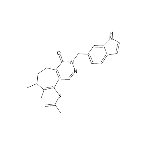 C=C(C)SC1=C(C)C(C)CCc2c1cnn(Cc1ccc3cc[nH]c3c1)c2=O